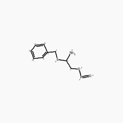 NC(COP=O)SCc1ccccc1